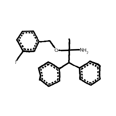 CC(N)(OCc1cccc(I)c1)C(c1ccccc1)c1ccccc1